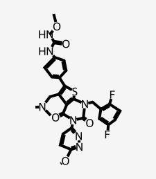 CONC(=O)Nc1ccc(-c2sc3c(c2CN(C)C)c(=O)n(-c2ccc(OC)nn2)c(=O)n3Cc2cc(F)ccc2F)cc1